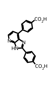 O=C(O)c1ccc(-c2nc3c(-c4ccc(C(=O)O)cc4)ccnc3[nH]2)cc1